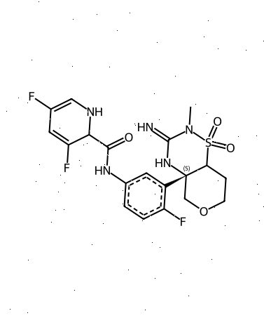 CN1C(=N)N[C@@]2(c3cc(NC(=O)C4NC=C(F)C=C4F)ccc3F)COCCC2S1(=O)=O